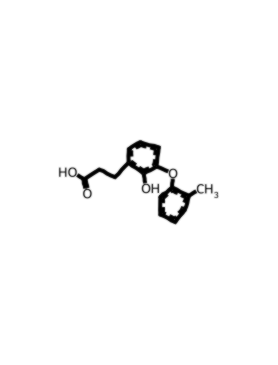 Cc1ccccc1Oc1cccc(CCC(=O)O)c1O